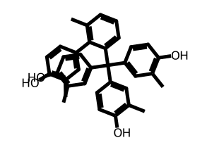 Cc1cc(-c2c(C)cccc2C(c2ccc(O)c(C)c2)(c2ccc(O)c(C)c2)c2ccc(O)c(C)c2)ccc1O